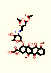 COc1cccc2c1C(=O)c1c(O)c3c(c(OC)c1C2=O)C[C@@](O)(C(=O)CO)CC3OC1CC(NCCCC(OC(C)=O)OC(C)=O)C(O)C(C)O1